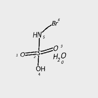 O.O=S(=O)(O)NBr